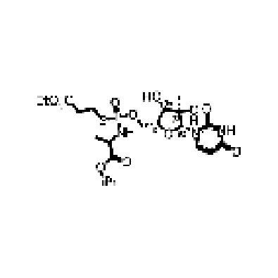 CCOC(=O)CCSP(=O)(NC(C)C(=O)OC(C)C)OC[C@H]1O[C@@H](n2ccc(=O)[nH]c2=O)[C@](C)(O)[C@@H]1O